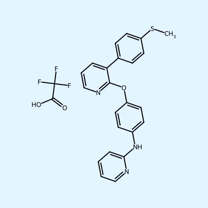 CSc1ccc(-c2cccnc2Oc2ccc(Nc3ccccn3)cc2)cc1.O=C(O)C(F)(F)F